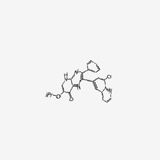 CC(C)Oc1c[nH]c2nc(-c3ccccc3)c(-c3cc(Cl)c4ncccc4c3)nc2c1=O